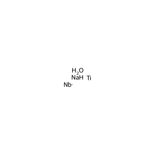 O.[NaH].[Nb].[Ti]